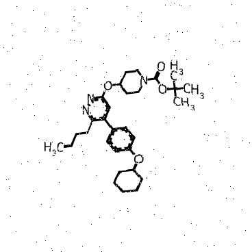 CCCCc1nnc(OC2CCN(C(=O)OC(C)(C)C)CC2)cc1-c1ccc(OC2CCCCC2)cc1